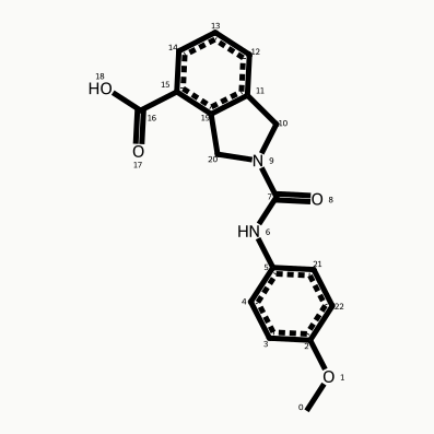 COc1ccc(NC(=O)N2Cc3cccc(C(=O)O)c3C2)cc1